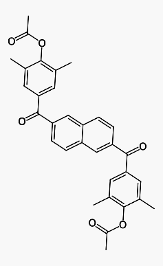 CC(=O)Oc1c(C)cc(C(=O)c2ccc3cc(C(=O)c4cc(C)c(OC(C)=O)c(C)c4)ccc3c2)cc1C